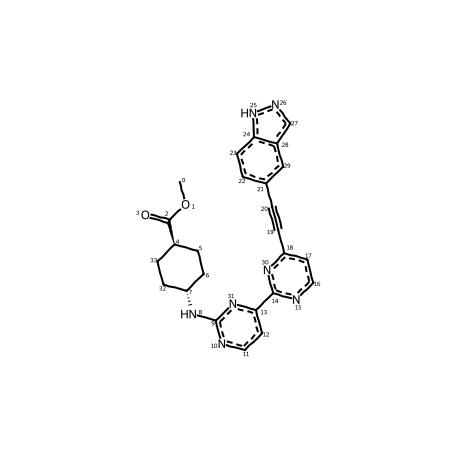 COC(=O)[C@H]1CC[C@H](Nc2nccc(-c3nccc(C#Cc4ccc5[nH]ncc5c4)n3)n2)CC1